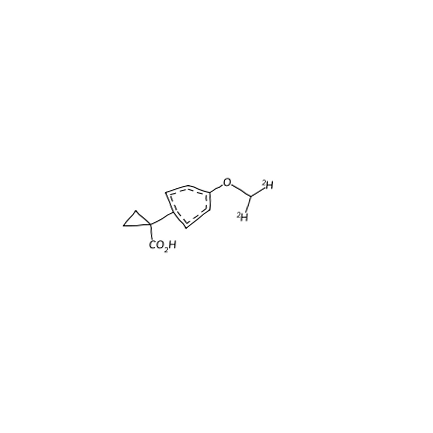 [2H]C([2H])Oc1ccc(C2(C(=O)O)CC2)cc1